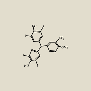 COc1ccc(C(c2cc(I)c(O)c(I)c2)c2cc(I)c(O)c(I)c2)cc1C(F)(F)F